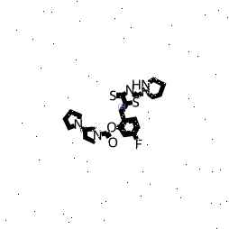 O=C(Oc1cc(F)ccc1/C=C1\SC(N2CCCCN2)=NC1=S)N1CC[C@@H](N2CCCC2)C1